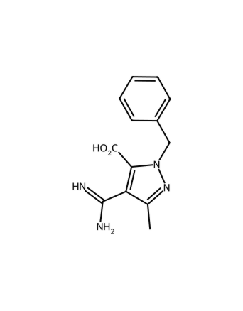 Cc1nn(Cc2ccccc2)c(C(=O)O)c1C(=N)N